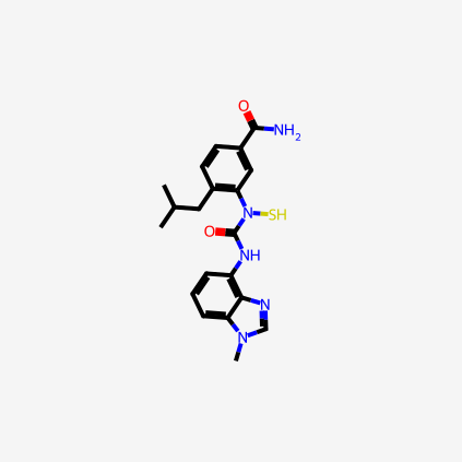 CC(C)Cc1ccc(C(N)=O)cc1N(S)C(=O)Nc1cccc2c1ncn2C